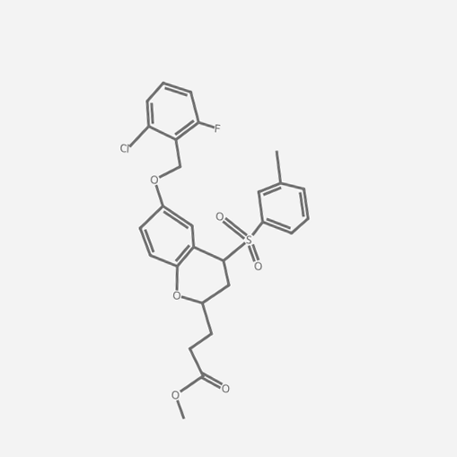 COC(=O)CCC1CC(S(=O)(=O)c2cccc(C)c2)c2cc(OCc3c(F)cccc3Cl)ccc2O1